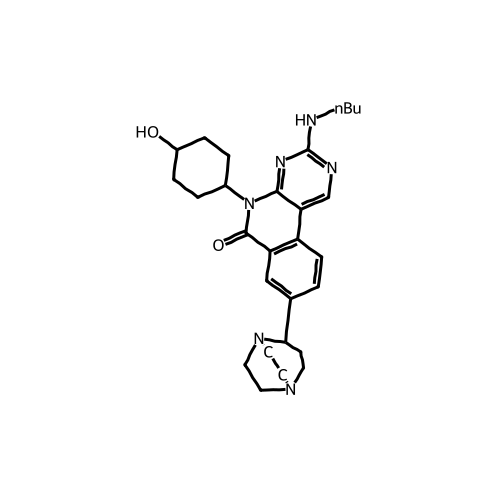 CCCCNc1ncc2c3ccc(C4CCN5CCN4CC5)cc3c(=O)n(C3CCC(O)CC3)c2n1